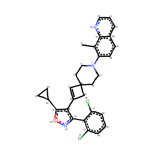 Cc1c(N2CCC3(C=C(c4c(-c5c(Cl)cccc5Cl)noc4C4CC4)C3)CC2)ccc2cccnc12